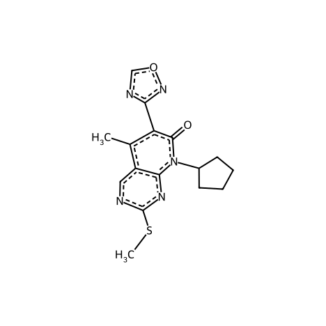 CSc1ncc2c(C)c(-c3ncon3)c(=O)n(C3CCCC3)c2n1